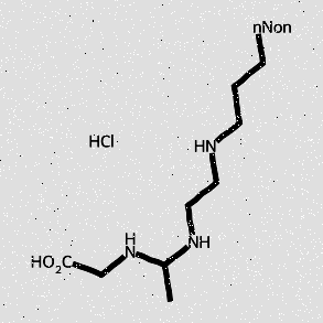 CCCCCCCCCCCCNCCNC(C)NCC(=O)O.Cl